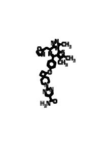 Cc1sc2c(c1C)C(c1ccc(OC3CCC34CCN(c3ncc(C(N)=O)cn3)CC4)cc1)=NC(Cc1ncco1)c1nnc(C)n1-2